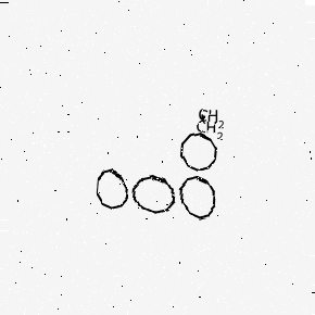 C1=CCCCCCCCC1.C1=CCCCCCCCC1.C1=CCCCCCCCC1.C1=CCCCCCCCC1.C=C